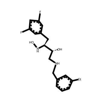 CCc1cccc(CNC[C@@H](O)[C@H](Cc2cc(F)cc(F)c2)NO)c1